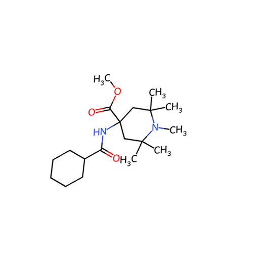 COC(=O)C1(NC(=O)C2CCCCC2)CC(C)(C)N(C)C(C)(C)C1